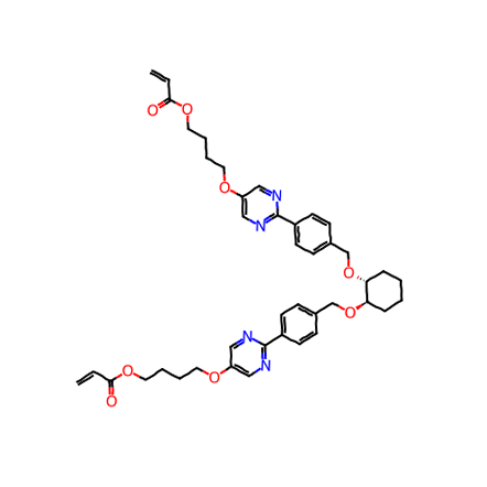 C=CC(=O)OCCCCOc1cnc(-c2ccc(CO[C@@H]3CCCC[C@H]3OCc3ccc(-c4ncc(OCCCCOC(=O)C=C)cn4)cc3)cc2)nc1